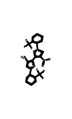 Nc1cn(-c2ccccc2C(F)(F)F)nc1-c1nn(-c2ccccc2C(F)(F)F)cc1[N+](=O)[O-]